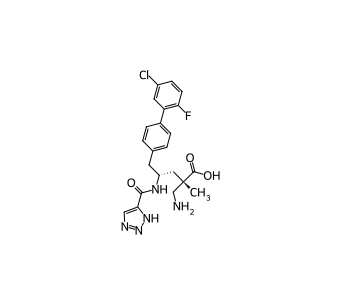 C[C@@](CN)(C[C@@H](Cc1ccc(-c2cc(Cl)ccc2F)cc1)NC(=O)c1cnn[nH]1)C(=O)O